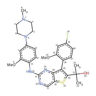 COc1cc(N2CCN(C)CC2)ccc1Nc1ncc2sc(C(C)(C)O)c(-c3ccc(F)cc3OC)c2n1